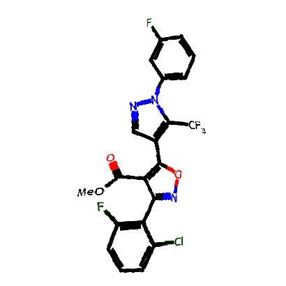 COC(=O)c1c(-c2c(F)cccc2Cl)noc1-c1cnn(-c2cccc(F)c2)c1C(F)(F)F